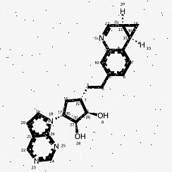 O[C@@H]1[C@@H](CCc2ccc3c(c2)N=C[C@H]2C[C@@H]32)C[C@@H](n2ccc3cncnc32)[C@@H]1O